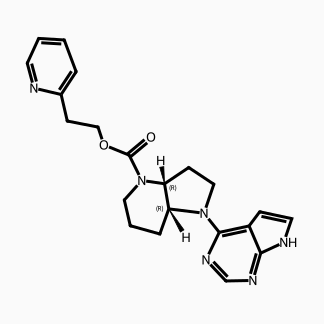 O=C(OCCc1ccccn1)N1CCC[C@@H]2[C@H]1CCN2c1ncnc2[nH]ccc12